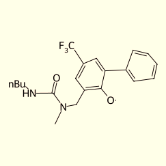 CCCCNC(=O)N(C)Cc1cc(C(F)(F)F)cc(-c2ccccc2)c1[O]